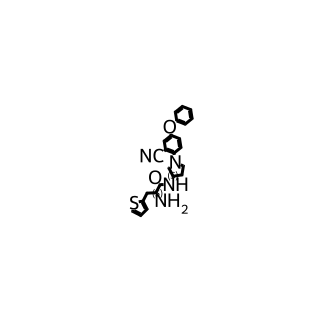 N#Cc1cc(Oc2ccccc2)ccc1N1CC[C@H](NC(=O)[C@@H](N)Cc2cccs2)C1